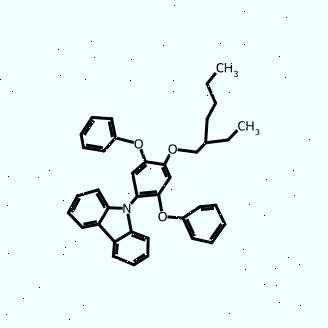 CCCCC(CC)COc1cc(Oc2ccccc2)c(-n2c3ccccc3c3ccccc32)cc1Oc1ccccc1